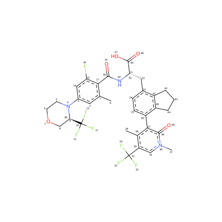 Cc1cc(N2CCOC[C@@H]2C(F)(F)F)cc(F)c1C(=O)N[C@@H](Cc1ccc(-c2c(C)c(C(F)(F)F)cn(C)c2=O)c2c1CCC2)C(=O)O